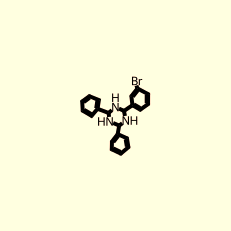 Brc1cccc(C2NC(c3ccccc3)NC(c3ccccc3)N2)c1